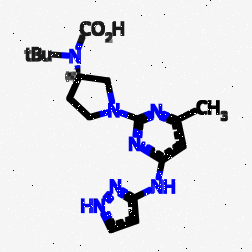 Cc1cc(Nc2cc[nH]n2)nc(N2CC[C@H](N(C(=O)O)C(C)(C)C)C2)n1